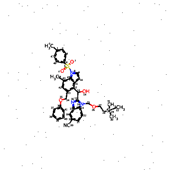 Cc1ccc(S(=O)(=O)n2ccc3c(C(O)c4nc5cc(C#N)ccc5n4COCC[Si](C)(C)C)c(COc4ccccc4)cc(C)c32)cc1